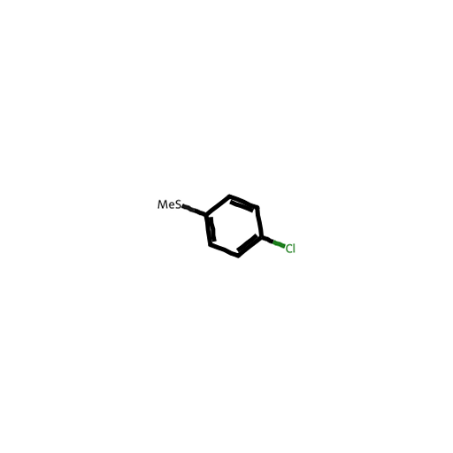 [CH2]Sc1ccc(Cl)cc1